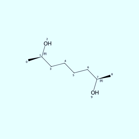 C[C@@H](O)CCCC[C@@H](C)O